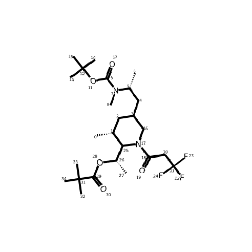 C[C@@H]1CC(C[C@@H](C)N(C)C(=O)OC(C)(C)C)CN(C(=O)CC(F)(F)F)C1[C@H](C)OC(=O)C(C)(C)C